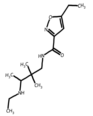 CCNC(C)C(C)(C)CNC(=O)c1cc(CC)on1